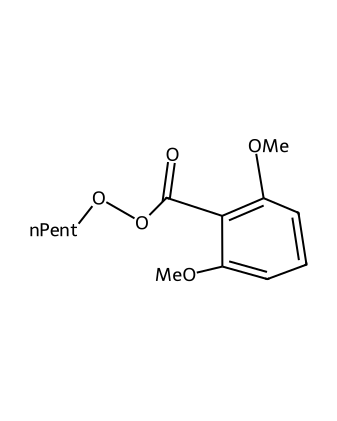 [CH2]CCCCOOC(=O)c1c(OC)cccc1OC